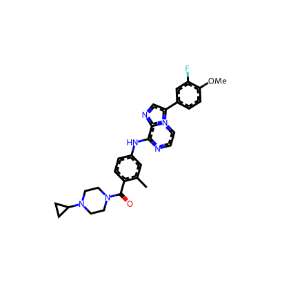 COc1ccc(-c2cnc3c(Nc4ccc(C(=O)N5CCN(C6CC6)CC5)c(C)c4)nccn23)cc1F